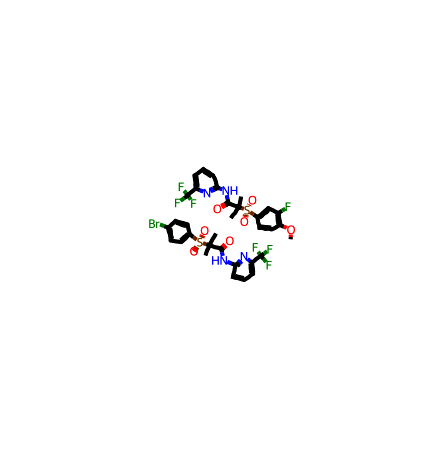 CC(C)(C(=O)Nc1cccc(C(F)(F)F)n1)S(=O)(=O)c1ccc(Br)cc1.COc1ccc(S(=O)(=O)C(C)(C)C(=O)Nc2cccc(C(F)(F)F)n2)cc1F